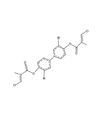 CC(=CCl)C(=O)Oc1ccc(-c2ccc(OC(=O)C(C)=CCl)c(Br)c2)cc1Br